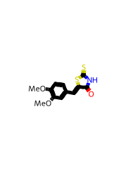 COc1ccc(/C=C2\SC(=S)NC2=O)cc1OC